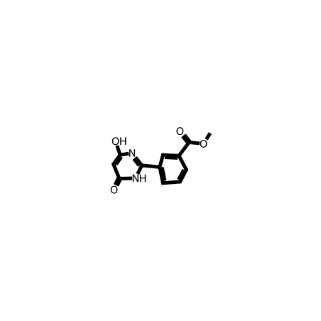 COC(=O)c1cccc(-c2nc(O)cc(=O)[nH]2)c1